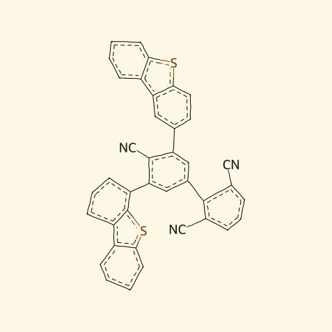 N#Cc1cccc(C#N)c1-c1cc(-c2ccc3sc4ccccc4c3c2)c(C#N)c(-c2cccc3c2sc2ccccc23)c1